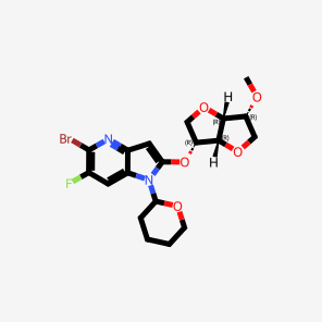 CO[C@@H]1CO[C@H]2[C@@H]1OC[C@H]2Oc1cc2nc(Br)c(F)cc2n1C1CCCCO1